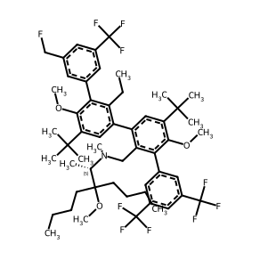 CCCCC(CCCC)(OC)[C@H](C)N(C)Cc1c(-c2cc(C(C)(C)C)c(OC)c(-c3cc(CF)cc(C(F)(F)F)c3)c2CC)cc(C(C)(C)C)c(OC)c1-c1cc(C(F)(F)F)cc(C(F)(F)F)c1